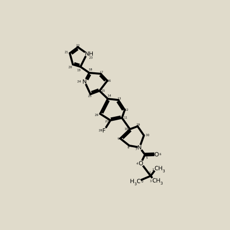 CC(C)(C)OC(=O)N1CC=C(c2ccc(-c3ccc(-c4ccc[nH]4)nc3)cc2F)CC1